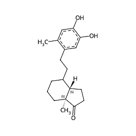 Cc1cc(O)c(O)cc1CCC1CCC[C@]2(C)C(=O)CC[C@@H]12